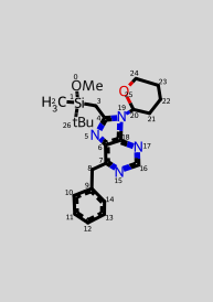 CO[Si](C)(Cc1nc2c(Cc3ccccc3)ncnc2n1C1CCCCO1)C(C)(C)C